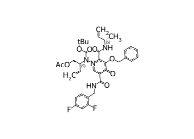 C=C[C@H](C)NC(=O)c1c(OCc2ccccc2)c(=O)c(C(=O)NCc2ccc(F)cc2F)cn1N(C(=O)OC(C)(C)C)[C@@H](C=C)COC(C)=O